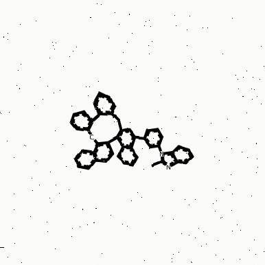 Cc1nc2ccccc2n1-c1cccc(-c2cc3c(c4ccccc24)-c2ccc4ccccc4c2Cc2ccccc2-c2ccccc2C3)c1